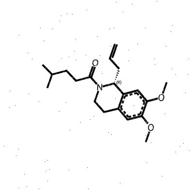 C=CC[C@@H]1c2cc(OC)c(OC)cc2CCN1C(=O)CCC(C)C